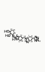 Cn1nnc(-c2ccc3c(c2)ncn3Cc2ccc3nc(NC4CCCC(O)C4O)sc3c2)n1